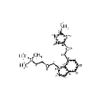 C[Si](C)(C)CCOCn1ncc2cccc(COc3nnc(N)s3)c21